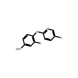 O=Cc1ccc(Oc2ccc(Cl)cn2)c(F)c1